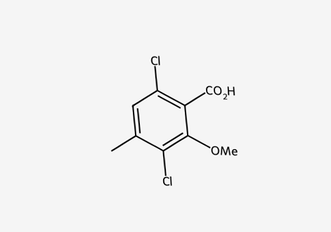 COc1c(Cl)c(C)cc(Cl)c1C(=O)O